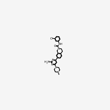 CN1CCN(c2cc(-c3ccc4c(c3)CN(C(=O)Nc3cccc(Cl)c3)CC4)nc(N)n2)CC1